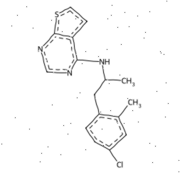 Cc1cc(Cl)ccc1CC(C)Nc1ncnc2sccc12